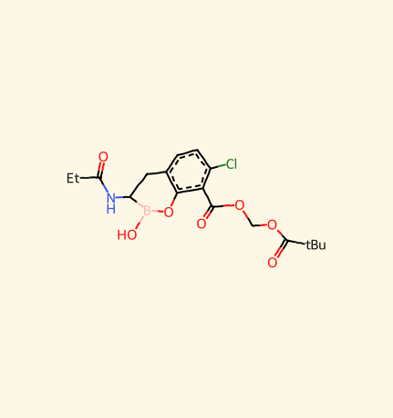 CCC(=O)NC1Cc2ccc(Cl)c(C(=O)OCOC(=O)C(C)(C)C)c2OB1O